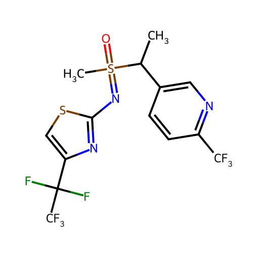 CC(c1ccc(C(F)(F)F)nc1)S(C)(=O)=Nc1nc(C(F)(F)C(F)(F)F)cs1